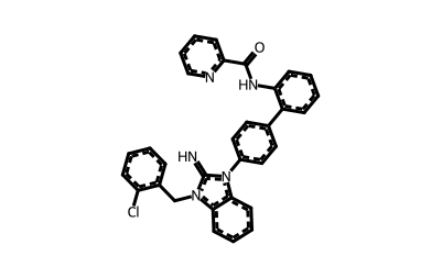 N=c1n(Cc2ccccc2Cl)c2ccccc2n1-c1ccc(-c2ccccc2NC(=O)c2ccccn2)cc1